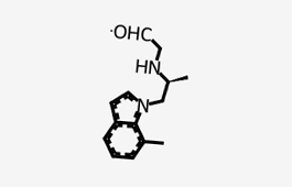 Cc1cccc2ccn(C[C@H](C)NC[C]=O)c12